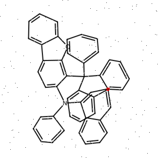 c1ccc(N(c2ccc3c(oc4ccccc43)c2C2(c3ccccc3)c3ccccc3-c3ccccc32)c2cccc3ccccc23)cc1